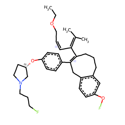 CCOC/C=C\C(=C(C)C)/C1=C(\c2ccc(O[C@H]3CCN(CCCF)C3)cc2)Cc2ccc(OF)cc2CCC1